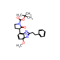 COc1ccc(C2CCN(C(=O)OC(C)(C)C)C2=O)c2[nH]c(CCc3ccccc3)nc12